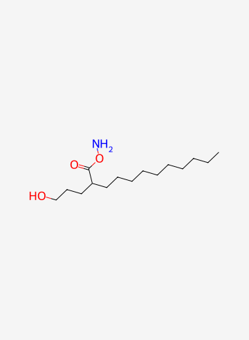 CCCCCCCCCCC(CCCO)C(=O)ON